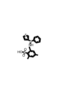 Cc1cc(C)c(S(=O)(=O)O)c(C)c1.N=S(c1ccccc1)c1ccsc1